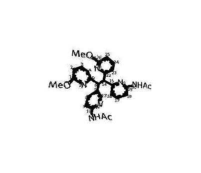 COc1cccc(C(c2ccc(NC(C)=O)nc2)C(c2cccc(NC(C)=O)n2)c2cccc(OC)n2)n1